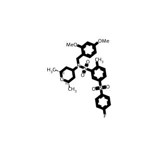 COc1ccc(CN(C2C[C@@H](C)O[C@@H](C)C2)S(=O)(=O)c2cc(S(=O)(=O)c3ccc(F)cc3)ccc2C)c(OC)c1